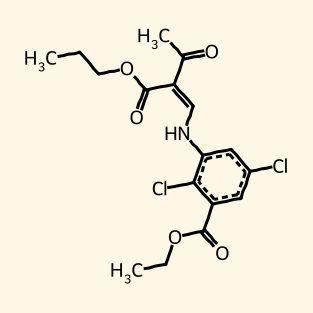 CCCOC(=O)C(=CNc1cc(Cl)cc(C(=O)OCC)c1Cl)C(C)=O